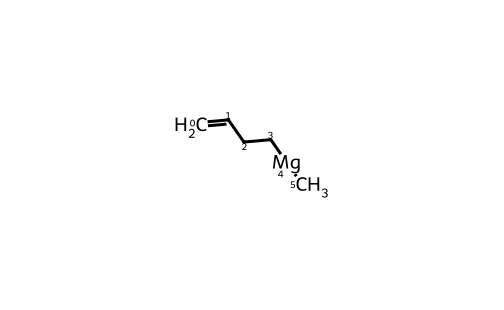 C=CC[CH2][Mg][CH3]